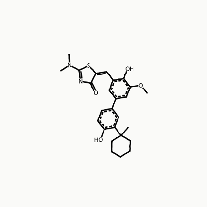 COc1cc(-c2ccc(O)c(C3(C)CCCCC3)c2)cc(C=C2SC(N(C)C)=NC2=O)c1O